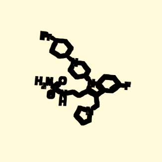 CC(C)[C@H]1CC[C@@H](N2CCC(n3c(CCNS(N)(=O)=O)c(CN4CCCC4)c4cc(F)ccc43)CC2)CC1